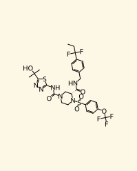 CCC(F)(F)c1ccc(CNC(=O)[C@H]2CN(C(=O)Nc3nnc(C(C)(C)O)s3)CCN2S(=O)(=O)c2ccc(OC(F)(F)F)cc2)cc1